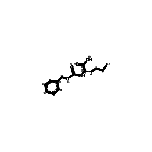 O=C(N[C@@H](CCCF)C(=O)O)OCc1ccccc1